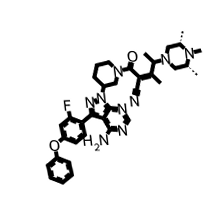 CC(=C(C#N)C(=O)N1CCCC(n2nc(-c3ccc(Oc4ccccc4)cc3F)c3c(N)ncnc32)C1)C(C)N1C[C@@H](C)N(C)[C@@H](C)C1